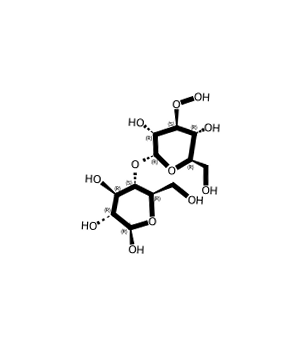 OC[C@H]1O[C@H](O[C@H]2[C@H](O)[C@@H](O)[C@H](O)O[C@@H]2CO)[C@H](O)[C@@H](OO)[C@@H]1O